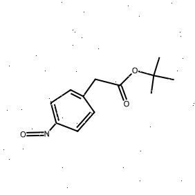 CC(C)(C)OC(=O)Cc1ccc(N=O)cc1